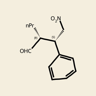 CCC[C@@H](C=O)[C@H](C[N+](=O)[O-])c1ccccc1